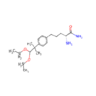 C[SiH2]OC(O[SiH2]C)C(C)(C)c1ccc(CCC[C@@H](N)C(N)=O)cc1